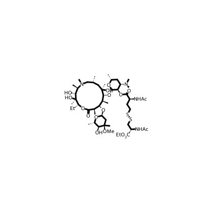 CCOC(=O)[C@H](CSSCC[C@H](NC(C)=O)C(=O)O[C@H]1[C@H](O[C@@H]2[C@@H](C)[C@H](O[C@H]3C[C@@](C)(OC)[C@@H](O)[C@H](C)O3)[C@@H](C)C(=O)O[C@H](CC)[C@@](C)(O)[C@H](O)[C@@H](C)N(C)C[C@H](C)C[C@@]2(C)O)O[C@H](C)C[C@@H]1N(C)C)NC(C)=O